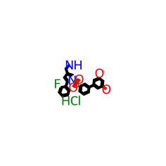 CNCc1cc(-c2ccccc2F)n(S(=O)(=O)c2cccc(-c3cc(OC)cc(OC)c3)c2)c1.Cl